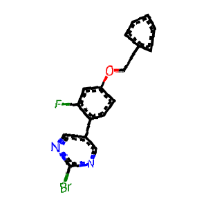 Fc1cc(OCc2ccccc2)ccc1-c1cnc(Br)nc1